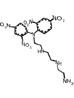 NCCNCCNCCN(c1ccc([N+](=O)[O-])cc1[N+](=O)[O-])c1ccc([N+](=O)[O-])cc1[N+](=O)[O-]